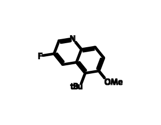 COc1ccc2ncc(F)cc2c1C(C)(C)C